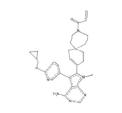 C=CC(=O)N1CCC2(CC=C(c3c(-c4ccc(OC5CC5)nc4)c4c(N)ncnc4n3C)CC2)CC1